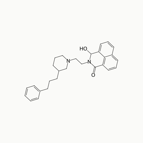 O=C1c2cccc3cccc(c23)C(O)N1CCN1CCCC(CCCc2ccccc2)C1